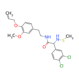 C=CCOc1ccc(CCNC(=O)C(NSC)c2ccc(Cl)c(Cl)c2)cc1OC